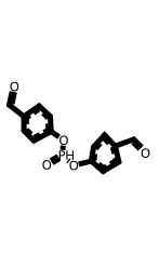 O=Cc1ccc(O[PH](=O)Oc2ccc(C=O)cc2)cc1